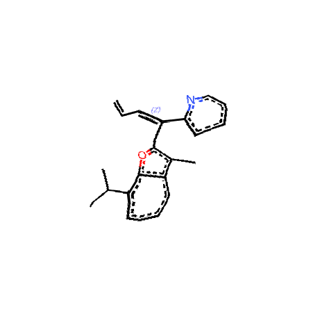 C=C/C=C(/c1ccccn1)c1oc2c(C(C)C)cccc2c1C